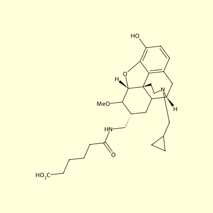 COC1[C@@H](CNC(=O)CCCCC(=O)O)CC2[C@H]3Cc4ccc(O)c5c4[C@@]2(CCN3CC2CC2)[C@H]1O5